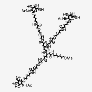 COCCCCCCNC(=O)C[C@H](CCC(=O)NCCOCCOCC(=O)NCCCCCO[C@@H]1OC(CO)[C@H](O)[C@H](O)C1NC(C)=O)NC(=O)C[C@H](CCC(=O)NCCOCCOCC(=O)NCCCCCO[C@@H]1OC(CO)[C@H](O)[C@H](O)C1NC(C)=O)NC(=O)CNC(=O)COCCOCCNC(=O)CCCCO[C@@H]1OC(CO)[C@H](O)[C@H](O)C1NC(C)=O